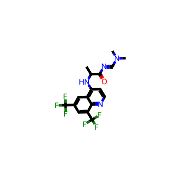 CC(Nc1ccnc2c(C(F)(F)F)cc(C(F)(F)F)cc12)C(=O)N=CN(C)C